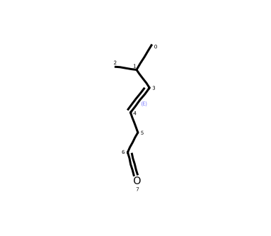 CC(C)/C=C/CC=O